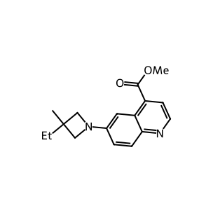 CCC1(C)CN(c2ccc3nccc(C(=O)OC)c3c2)C1